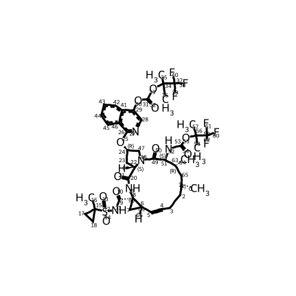 C[C@@H]1CCC=C[C@@H]2C[C@@]2(C(=O)NS(=O)(=O)C2(C)CC2)NC(=O)[C@@H]2C[C@@H](Oc3ncc(OC(=O)OC(C)(C)C(F)(F)F)c4ccccc34)CN2C(=O)[C@@H](NC(=O)OC(C)(C)C(F)(F)F)[C@H](C)C1